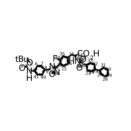 CC(C)(C)OC(=O)Nc1ccc(-c2nc(-c3ccc(CC(NS(=O)(=O)c4ccc(-c5ccccc5)cc4)C(=O)O)cc3F)no2)cc1